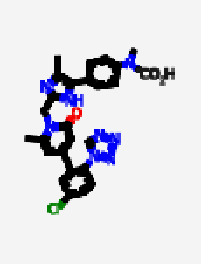 Cc1nc(Cn2c(C)cc(-c3cc(Cl)ccc3-n3cnnn3)cc2=O)[nH]c1-c1ccc(N(C)C(=O)O)cc1